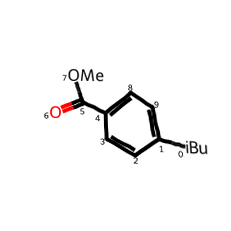 CCC(C)c1ccc(C(=O)OC)cc1